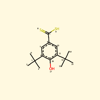 CC(C)(C)c1cc(C(=S)S)cc(C(C)(C)C)c1O